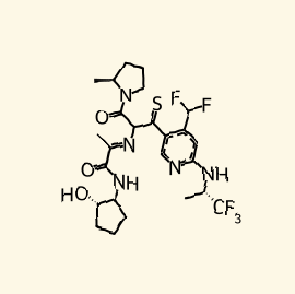 C/C(=N\C(C(=O)N1CCC[C@@H]1C)C(=S)c1cnc(N[C@@H](C)C(F)(F)F)cc1C(F)F)C(=O)N[C@H]1CCC[C@@H]1O